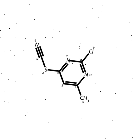 Cc1cc(SC#N)nc(Cl)n1